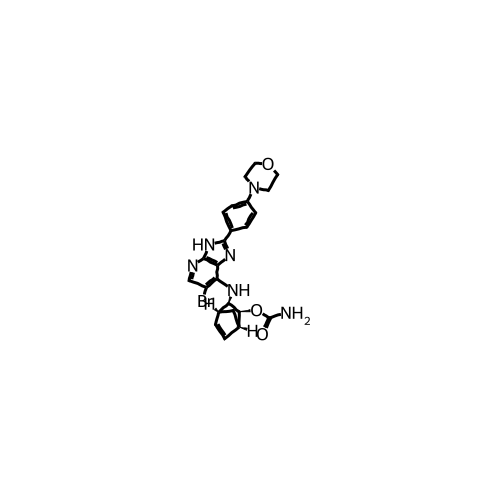 NC(=O)O[C@@H]1[C@H](Nc2c(Br)cnc3[nH]c(-c4ccc(N5CCOCC5)cc4)nc23)[C@H]2C=C[C@@H]1C2